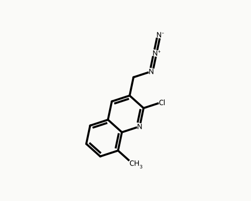 Cc1cccc2cc(CN=[N+]=[N-])c(Cl)nc12